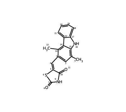 Cc1cc(C=C2SC(=O)NC2=O)c(C)c2c1[nH]c1ccccc12